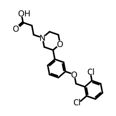 O=C(O)CCN1CCOC(c2cccc(OCc3c(Cl)cccc3Cl)c2)C1